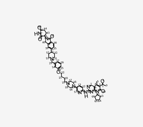 CC(=O)c1c(C)c2cnc(Nc3ccc(N4CCN(CCCCOc5cccc(CN6CCC(c7ccc8c(c7)CN(C7CCC(=O)NC7=O)C8=O)CC6)c5)CC4)cn3)nc2n(C2CCCC2)c1=O